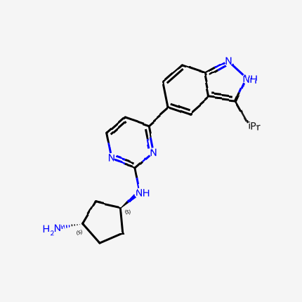 CC(C)c1[nH]nc2ccc(-c3ccnc(N[C@H]4CC[C@H](N)C4)n3)cc12